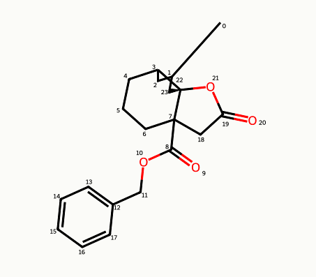 CC1CC2CCCC3(C(=O)OCc4ccccc4)CC(=O)O[C@@]23C1